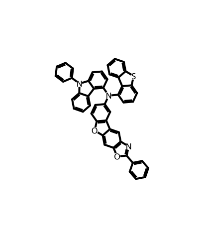 c1ccc(-c2nc3cc4c(cc3o2)oc2ccc(N(c3cccc5sc6ccccc6c35)c3cccc5c3c3ccccc3n5-c3ccccc3)cc24)cc1